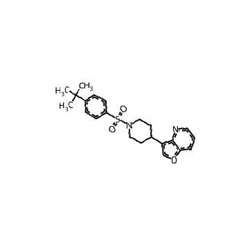 CC(C)(C)c1ccc(S(=O)(=O)N2CCC(c3coc4cccnc34)CC2)cc1